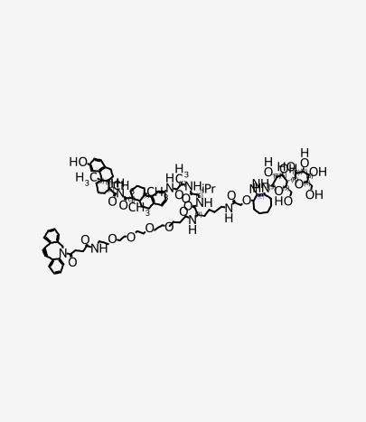 CC(C)[C@H](NC(=O)[C@@H](CCCCNC(=O)COC1CCCCC/C(N[C@H]2O[C@H](CO)C([C@H]3O[C@H](CO)[C@@H](O)[C@H](O)[C@H]3O)[C@H](O)[C@H]2O)=C\1N=N)NC(=O)CCOCCOCCOCCOCCNC(=O)CCC(=O)N1Cc2ccccc2C#Cc2ccccc21)C(=O)N[C@@H](C)C(=O)Nc1ccc2c(c1)[C@@]1(C)CCC[C@](C)(C(=O)NC(=O)[C@@]3(C)CCC[C@]4(C)c5cc(O)ccc5CC[C@@H]34)C1CC2